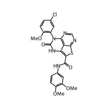 COc1ccc(NC(=O)c2sc3ncnc4c3c2NC(=O)N4c2cc(Cl)ccc2OC)cc1OC